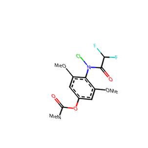 CNC(=O)Oc1cc(OC)c(N(Cl)C(=O)C(F)F)c(OC)c1